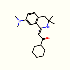 CN(C)c1ccc2c(c1)/C(=C/C(=O)C1CCCCC1)NC(C)(C)C2